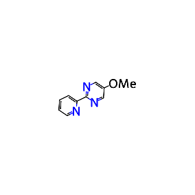 COc1cnc(-c2ccccn2)nc1